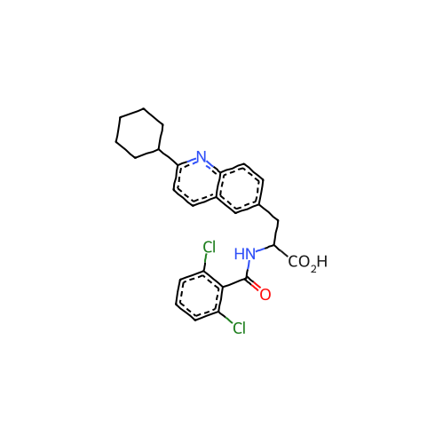 O=C(NC(Cc1ccc2nc(C3CCCCC3)ccc2c1)C(=O)O)c1c(Cl)cccc1Cl